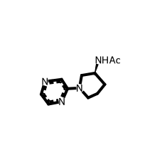 CC(=O)N[C@H]1CCCN(c2cnccn2)C1